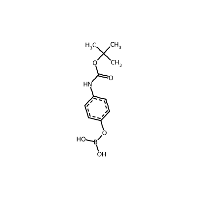 CC(C)(C)OC(=O)Nc1ccc(OB(O)O)cc1